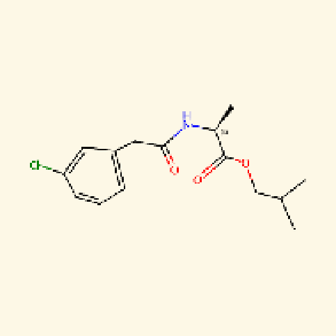 CC(C)COC(=O)[C@H](C)NC(=O)Cc1cccc(Cl)c1